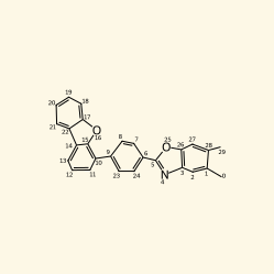 Cc1cc2nc(-c3ccc(-c4cccc5c4oc4ccccc45)cc3)oc2cc1C